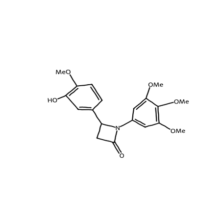 COc1ccc(C2CC(=O)N2c2cc(OC)c(OC)c(OC)c2)cc1O